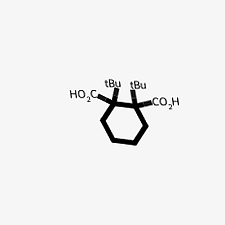 CC(C)(C)C1(C(=O)O)CCCCC1(C(=O)O)C(C)(C)C